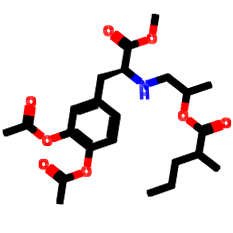 CCCC(C)C(=O)OC(C)CN[C@@H](Cc1ccc(OC(C)=O)c(OC(C)=O)c1)C(=O)OC